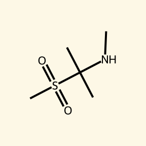 CNC(C)(C)S(C)(=O)=O